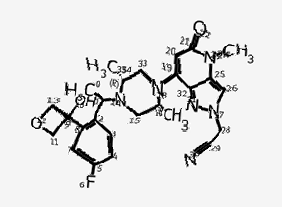 CC(c1ccc(F)cc1C1(O)COC1)N1C[C@H](C)N(c2cc(=O)n(C)c3cn(CC#N)nc23)C[C@H]1C